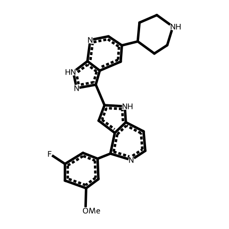 COc1cc(F)cc(-c2nccc3[nH]c(-c4n[nH]c5ncc(C6CCNCC6)cc45)cc23)c1